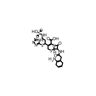 NC1=C(CC(=O)NC2C(=O)N3C(C(=O)O)=C(C(CCNS(=O)(=O)O)Sc4nnn[nH]4)CS[C@@H]23)CC=CC1